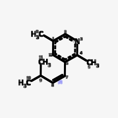 Cc1cnc(C)c(/C=C\C(C)C)c1